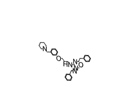 CN(/N=C/c1ccccc1)/C(=N\C(=O)Cc1ccccc1)NCCCOc1cccc(CN2CCCCC2)c1